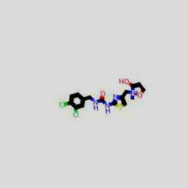 C[N+]1(Cc2csc(NC(=O)NCc3ccc(Cl)c(Cl)c3)n2)OCC=C1O